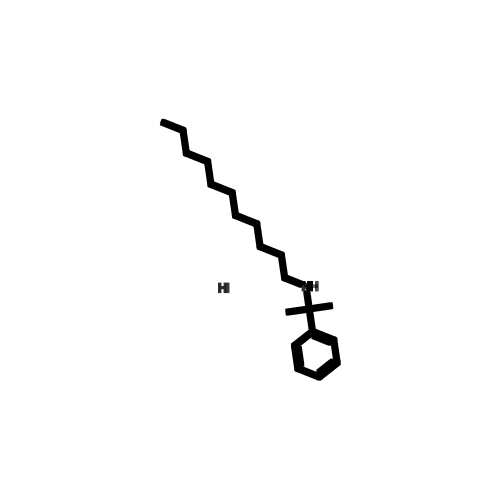 CCCCCCCCCCCNC(C)(C)c1ccccc1.I